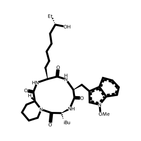 CC[C@H](O)CCCCC[C@@H]1NC(=O)[C@H]2CCCCN2C(=O)[C@H]([C@@H](C)CC)NC(=O)[C@H](Cc2cn(OC)c3ccccc23)NC1=O